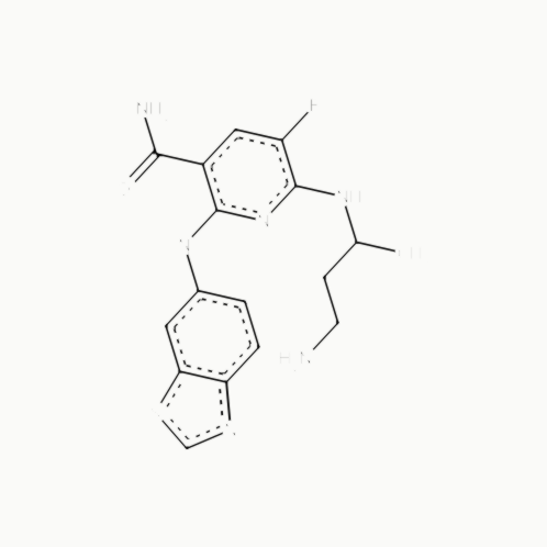 CC(CCN)Nc1nc(Nc2ccc3ncsc3c2)c(C(N)=O)cc1F